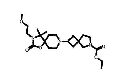 CCOC(=O)N1CCC2(CC(N3CCC4(CC3)OC(=O)N(CCOC)C4(C)C)C2)C1